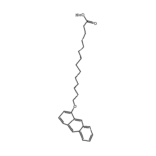 COC(=O)CCCCCCCCCCCCCOc1cccc2cc3ccccc3cc12